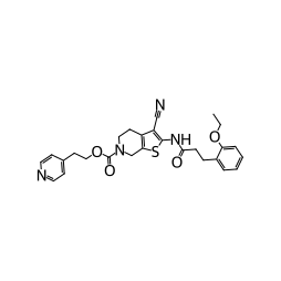 CCOc1ccccc1CCC(=O)Nc1sc2c(c1C#N)CCN(C(=O)OCCc1ccncc1)C2